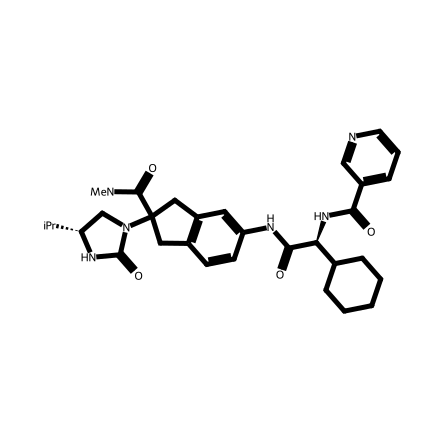 CNC(=O)C1(N2C[C@@H](C(C)C)NC2=O)Cc2ccc(NC(=O)[C@@H](NC(=O)c3cccnc3)C3CCCCC3)cc2C1